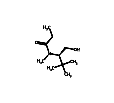 CCC(=O)N(C)[C@@H](CO)C(C)(C)C